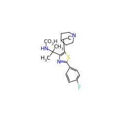 CC(C)(NC(=O)O)c1nc(-c2ccc(F)cc2)sc1C1CN2CCC1CC2